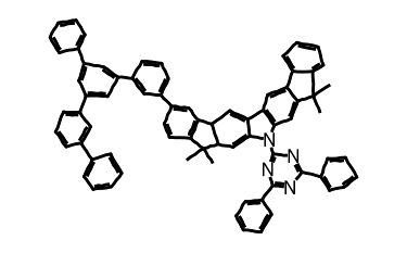 CC1(C)c2ccccc2-c2cc3c4c(n(-c5nc(-c6ccccc6)nc(-c6ccccc6)n5)c3cc21)=CC1C(C=4)c2cc(-c3cccc(-c4cc(-c5ccccc5)cc(-c5cccc(-c6ccccc6)c5)c4)c3)ccc2C1(C)C